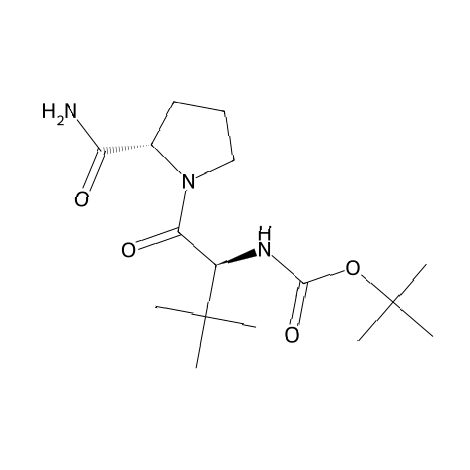 CC(C)(C)OC(=O)N[C@H](C(=O)N1CCC[C@H]1C(N)=O)C(C)(C)C